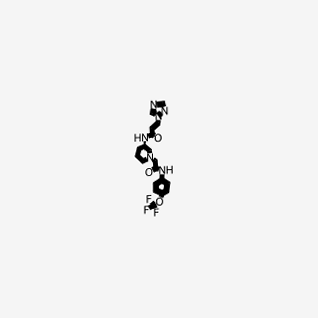 O=C(/C=C/n1cncn1)N[C@@H]1CCCN(CC(=O)Nc2ccc(OC(F)(F)F)cc2)C1